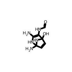 NC1=C(NC=O)C2(O)C=CC(N)(N1)N2